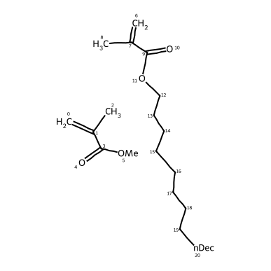 C=C(C)C(=O)OC.C=C(C)C(=O)OCCCCCCCCCCCCCCCCCC